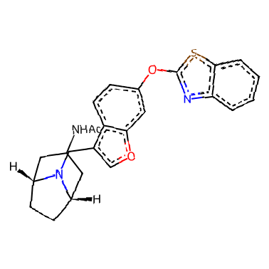 CC(=O)NC1C[C@H]2CC[C@@H](C1)N2Cc1coc2cc(Oc3nc4ccccc4s3)ccc12